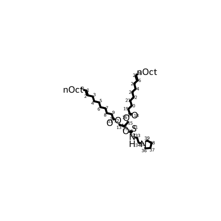 CCCCCCCCC=CCCCCCCCC(=O)OCC(COC(=O)CCCCCCCC=CCCCCCCCC)OC(=S)NCCN1CCCC1